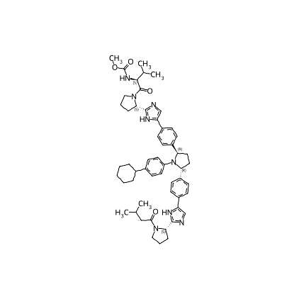 COC(=O)N[C@H](C(=O)N1CCC[C@H]1c1ncc(-c2ccc([C@H]3CC[C@H](c4ccc(-c5cnc([C@@H]6CCCN6C(=O)[CH]C(C)C)[nH]5)cc4)N3c3ccc(C4CCCCC4)cc3)cc2)[nH]1)C(C)C